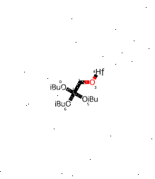 CC(C)COC(C[O][Hf])(OCC(C)C)OCC(C)C